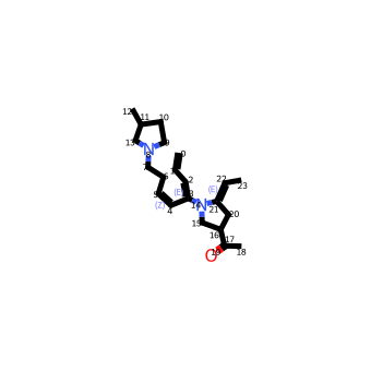 C=C/C=C(\C=C/CCN1CCC(C)C1)N1CC(C(C)=O)C/C1=C\C